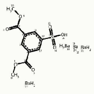 COC(=O)c1cc(C(=O)OC)cc(S(=O)(=O)O)c1.[BaH2].[BaH2].[BaH2].[BaH2]